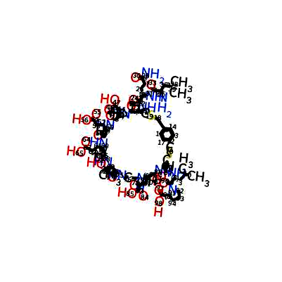 CC(C)C[C@H](NC(=O)[C@@H]1CSCc2ccc(cc2)CSC[C@H](NC(=O)[C@H](CCC(N)=O)NC(=O)[C@@H](N)CC(C)C)C(=O)N[C@@H](CC(=O)O)C(=O)N[C@@H](CCC(=O)O)C(=O)N[C@@H](CCC(=O)O)C(=O)N[C@@H]([C@@H](C)O)C(=O)NCC(=O)N[C@@H](CCC(=O)O)C(=O)N1)C(=O)N1CCC[C@H]1C(=O)O